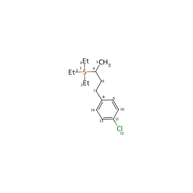 CCS(CC)(CC)C(C)CCc1ccc(Cl)cc1